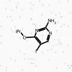 CC(C)Oc1nc(N)ncc1I